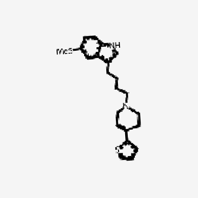 CSc1ccc2[nH]cc(CCCCN3CC=C(c4cccs4)CC3)c2c1